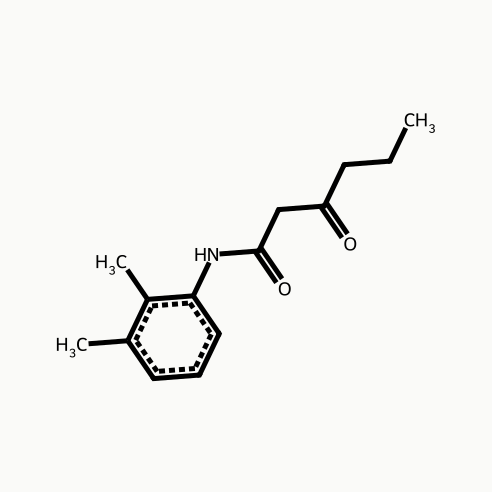 CCCC(=O)CC(=O)Nc1cccc(C)c1C